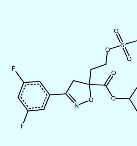 CC(C)OC(=O)C1(CCOS(C)(=O)=O)CC(c2cc(F)cc(F)c2)=NO1